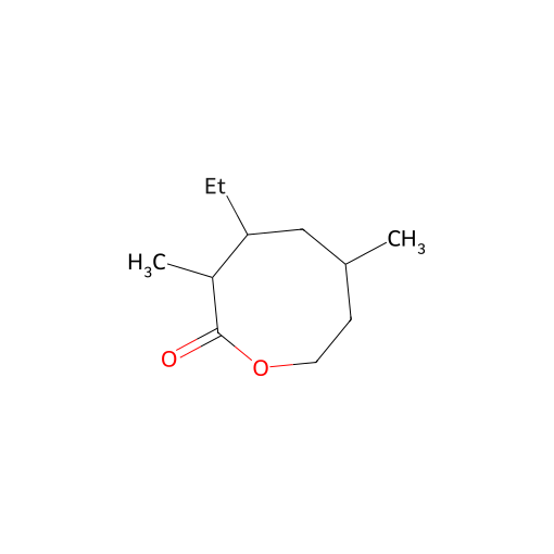 CCC1CC(C)CCOC(=O)C1C